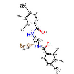 CCCCc1ccc(C(=O)[NH][Hf+2][NH]C(=O)c2ccc(CCCC)c(C)c2C)c(C)c1C.[Br-].[Br-]